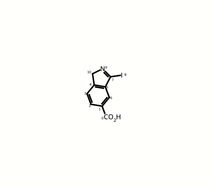 O=C(O)c1ccc2c(c1)C(I)=NC2